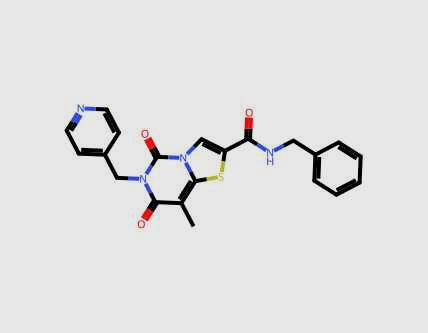 Cc1c(=O)n(Cc2ccncc2)c(=O)n2cc(C(=O)NCc3ccccc3)sc12